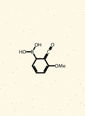 COC1=CC=CC(B(O)O)C1=C=O